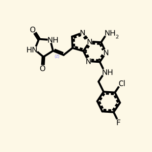 Nc1nc(NCc2ccc(F)cc2Cl)nc2c(/C=C3\NC(=O)NC3=O)cnn12